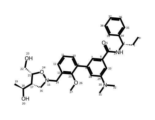 CC[C@H](NC(=O)c1cc(-c2cccc(CN3C[C@H]([C@H](C)O)[C@H](CO)O3)c2OC)cc(N(C)C)c1)c1ccccc1